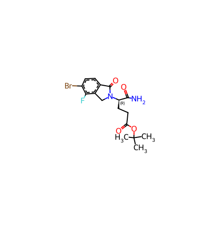 CC(C)(C)OC(=O)CC[C@H](C(N)=O)N1Cc2c(ccc(Br)c2F)C1=O